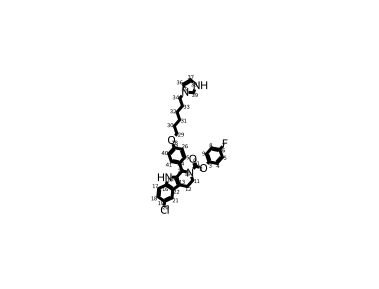 O=C(Oc1ccc(F)cc1)N1CCc2c([nH]c3ccc(Cl)cc23)C1c1ccc(OCCCCCCN2C=CNC2)cc1